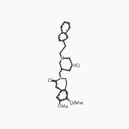 COc1cc2c(cc1OC)CC(=O)N(CC1CCCN(CCc3ccc4ccccc4c3)C1)CC2.Cl